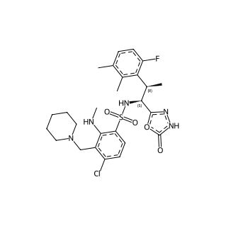 CNc1c(S(=O)(=O)N[C@H](c2n[nH]c(=O)o2)[C@H](C)c2c(F)ccc(C)c2C)ccc(Cl)c1CN1CCCCC1